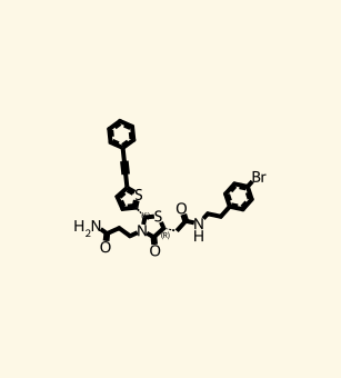 NC(=O)CCN1C(=O)[C@@H](CC(=O)NCCc2ccc(Br)cc2)S[C@H]1c1ccc(C#Cc2ccccc2)s1